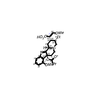 CC[C@@H]1CN2CC[C@@]3(OC(=O)C(C)C)C(=Nc4cccc(OC)c43)[C@@H]2C[C@@H]1/C(=C\OC)C(=O)O